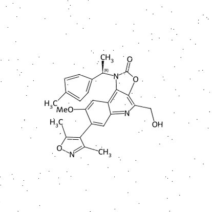 COc1cc2c(cc1-c1c(C)noc1C)nc(CO)c1oc(=O)n([C@H](C)c3ccc(C)cc3)c12